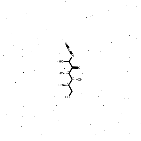 [N-]=[N+]=NC(O)C(=O)[C@@H](O)[C@H](O)[C@H](O)CO